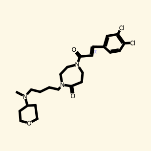 CN(CCCCN1CCN(C(=O)/C=C/c2ccc(Cl)c(Cl)c2)CCC1=O)C1CCOCC1